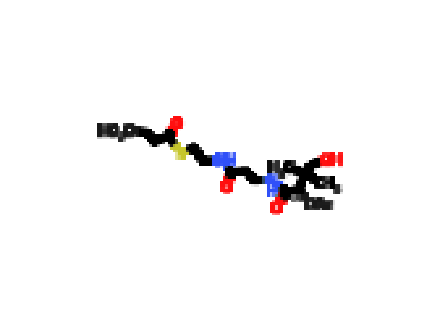 CC(=O)O[C@@H](C(=O)NCCC(=O)NCCSC(=O)CCC(=O)O)C(C)(C)CO